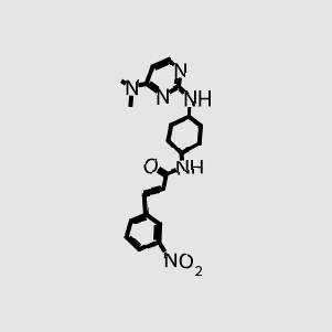 CN(C)c1ccnc(NC2CCC(NC(=O)C=Cc3cccc([N+](=O)[O-])c3)CC2)n1